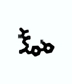 CC(C)NC(=O)CSC(=O)Cc1ccc(-c2ccccc2F)cc1